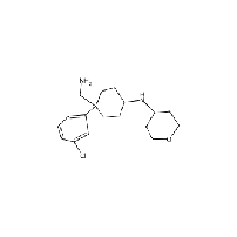 NCC1(c2cccc(Cl)c2)CCC(NC2CCOCC2)CC1